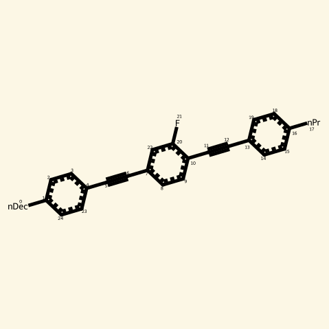 CCCCCCCCCCc1ccc(C#Cc2ccc(C#Cc3ccc(CCC)cc3)c(F)c2)cc1